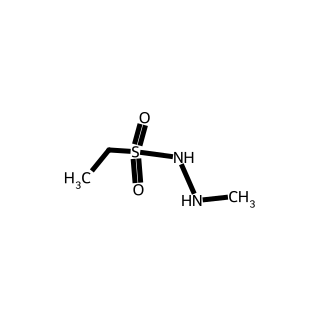 CCS(=O)(=O)NNC